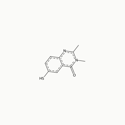 Cc1nc2ccc(S)cc2c(=O)n1C